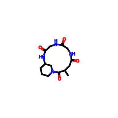 CC1CC(=O)NCC(=O)NCC(=O)NC2CCCN(C2)C1=O